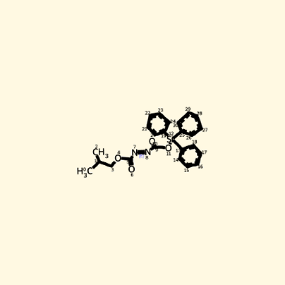 CC(C)COC(=O)/N=N/C(=O)O[Si](c1ccccc1)(c1ccccc1)c1ccccc1